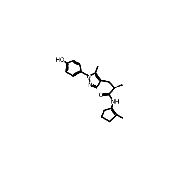 CC1=C(NC(=O)[C@H](C)Cc2cnn(-c3ccc(O)cc3)c2C)CCC1